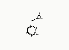 [c]1ccc(CC2CC2)cn1